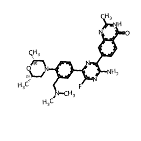 Cc1nc2cc(-c3nc(-c4ccc(N5C[C@@H](C)O[C@@H](C)C5)c(CN(C)C)c4)c(F)nc3N)ccc2c(=O)[nH]1